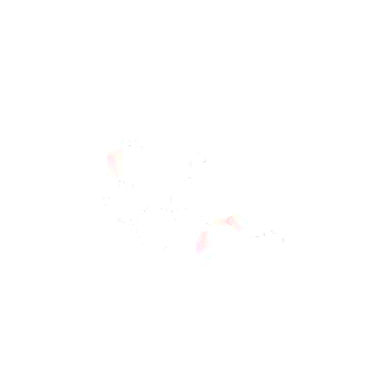 C=CCC1(CC(=O)OCC)CCCc2ccc(OC)cc21